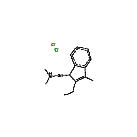 CCC1=C(C)c2ccccc2[CH]1[Zr+2][SiH](C)C.[Cl-].[Cl-]